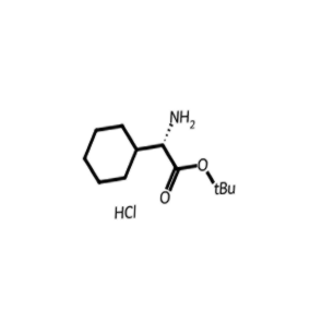 CC(C)(C)OC(=O)[C@@H](N)C1CCCCC1.Cl